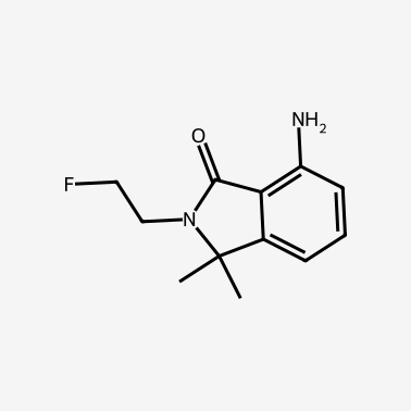 CC1(C)c2cccc(N)c2C(=O)N1CCF